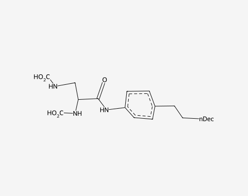 CCCCCCCCCCCCc1ccc(NC(=O)C(CNC(=O)O)NC(=O)O)cc1